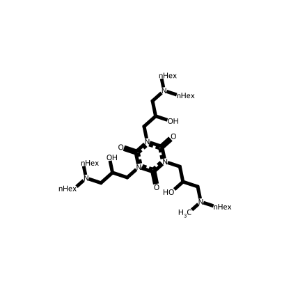 CCCCCCN(C)CC(O)Cn1c(=O)n(CC(O)CN(CCCCCC)CCCCCC)c(=O)n(CC(O)CN(CCCCCC)CCCCCC)c1=O